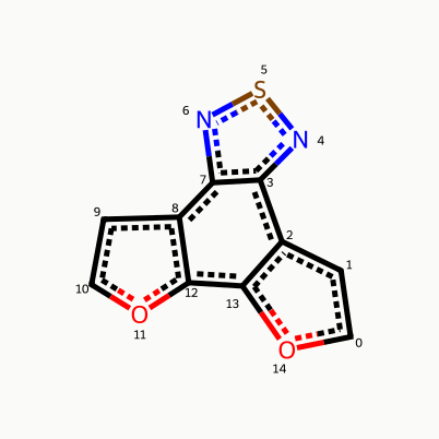 c1cc2c3nsnc3c3ccoc3c2o1